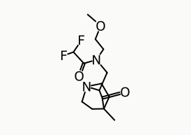 COCCN(CC1C(=O)C2(C)CCN1CC2)C(=O)C(F)F